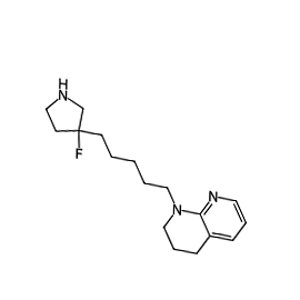 FC1(CCCCCN2CCCc3cccnc32)CCNC1